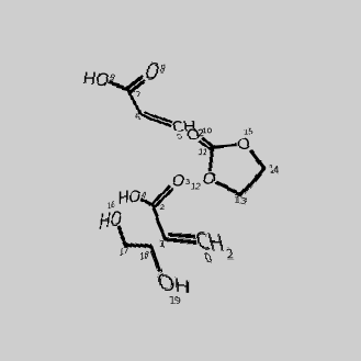 C=CC(=O)O.C=CC(=O)O.O=C1OCCO1.OCCO